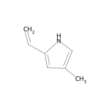 C=Cc1cc(C)c[nH]1